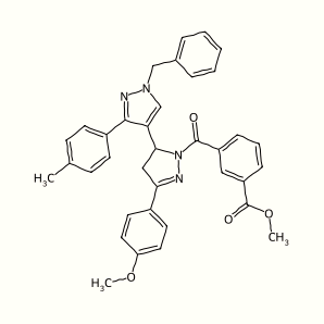 COC(=O)c1cccc(C(=O)N2N=C(c3ccc(OC)cc3)CC2c2cn(Cc3ccccc3)nc2-c2ccc(C)cc2)c1